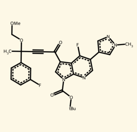 COCOC(C)(C#CC(=O)c1cn(C(=O)OC(C)(C)C)c2ncc(-c3cnn(C)c3)c(F)c12)c1cccc(F)c1